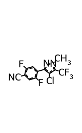 Cn1nc(-c2cc(F)c(C#N)cc2F)c(Cl)c1C(F)(F)F